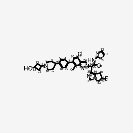 Cc1c(-c2ccc(C3CCN(C4CC(O)C4)CC3)cc2)cc(Cl)c2cn(C(C(=O)Nc3nccs3)c3ncn4c3C[C@@H](F)C4)nc12